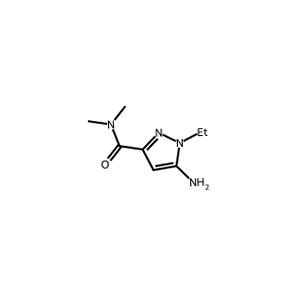 CCn1nc(C(=O)N(C)C)cc1N